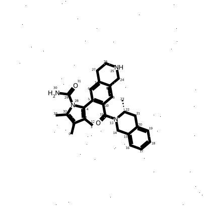 Cc1c(C)c(-c2cc3c(cc2C(=O)N2Cc4ccccc4C[C@H]2C)CNCC3)n(C(N)=O)c1C